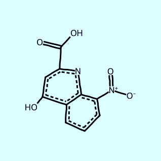 O=C(O)c1cc(O)c2cccc([N+](=O)[O-])c2n1